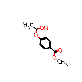 COC(=O)c1ccc(OC(C)O)cc1